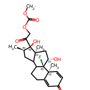 [CH2]OC(=O)OCC(=O)[C@@]1(O)[C@H](C)CC2C3CCC4=CC(=O)C=C[C@]4(C)[C@@]3(F)[C@@H](O)C[C@@]21C